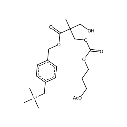 CC(=O)OCCCOC(=O)OCC(C)(CO)C(=O)OCc1ccc(C[N+](C)(C)C)cc1